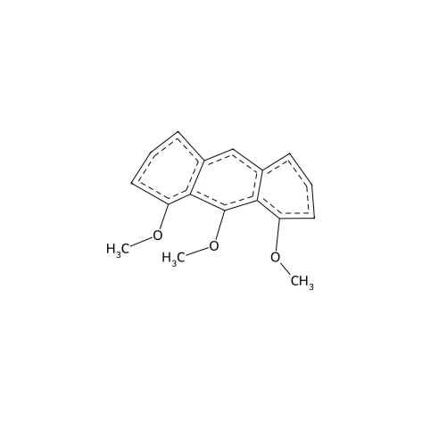 COc1cccc2cc3cccc(OC)c3c(OC)c12